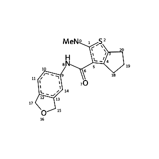 CNc1sc2c(c1C(=O)Nc1ccc3c(c1)COC3)CCC2